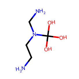 NCCN(CN)C(O)(O)O